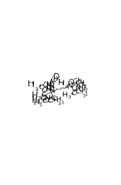 CN1C(C)(C)CC(N(CCCCCCN2C3CC(C)(C)N(C)C(C)(C)C3C2(C)C)c2nc(N3CCOCC3)nc(C(C)(C)C)n2)CC1(C)C